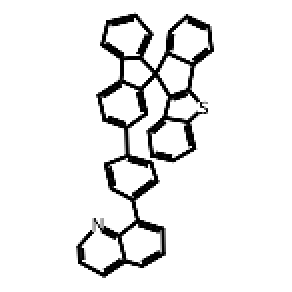 c1ccc2c(c1)-c1ccc(-c3ccc(-c4cccc5cccnc45)cc3)cc1C21c2ccccc2-c2sc3ccccc3c21